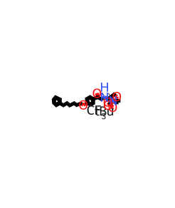 CC(C)(C)OC(=O)N1C(C)(C)OC[C@]1(C)C(=O)NCC(=O)c1ccc(OCCCCCCc2ccccc2)c(C(F)(F)F)c1